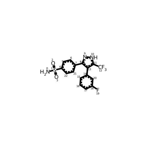 NS(=O)(=O)c1ccc(-c2n[nH]c(C(F)(F)F)c2-c2cccc(F)c2)cc1